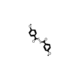 COc1ccc(C(=O)SSC(=O)c2ccc(OC)cc2)cc1